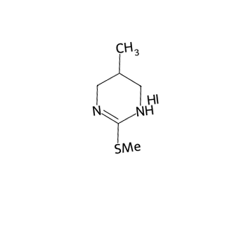 CSC1=NCC(C)CN1.I